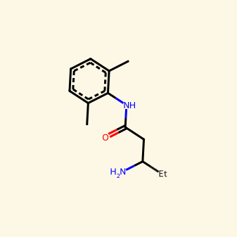 CCC(N)CC(=O)Nc1c(C)cccc1C